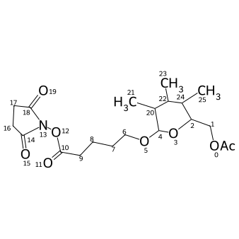 CC(=O)OCC1OC(OCCCCC(=O)ON2C(=O)CCC2=O)C(C)C(C)C1C